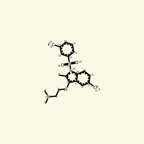 Cc1c(SCCN(C)C)c2cc(C(F)(F)F)ccc2n1S(=O)(=O)c1cccc(C(F)(F)F)c1